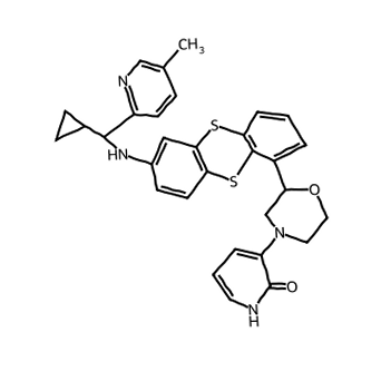 Cc1ccc(C(Nc2ccc3c(c2)Sc2cccc(C4CN(c5ccc[nH]c5=O)CCO4)c2S3)C2CC2)nc1